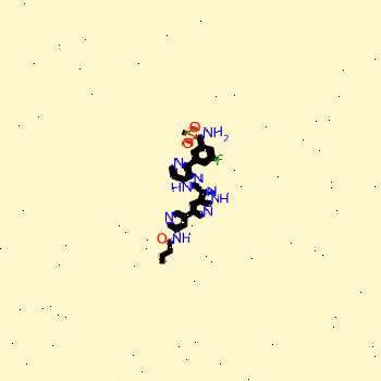 CCCC(=O)Nc1cncc(-c2cnc3[nH]nc(-c4nc5c(-c6cc(F)cc(C(N)S(C)(=O)=O)c6)nccc5[nH]4)c3c2)c1